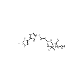 Cc1ccc(-c2ccc(CCCCCC(C(=O)NO)S(C)(=O)=O)s2)s1